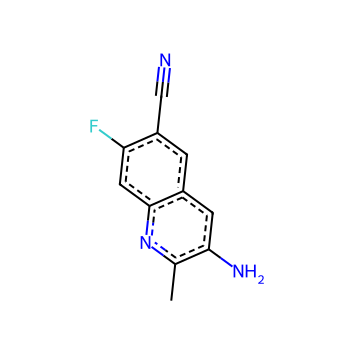 Cc1nc2cc(F)c(C#N)cc2cc1N